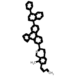 C=C/C=C\c1ccc2c(c1C)CN=C(c1ccc3c4ccc(-c5ccc(-c6ccccc6)c6ccccc56)cc4c4ccccc4c3c1)C=C2